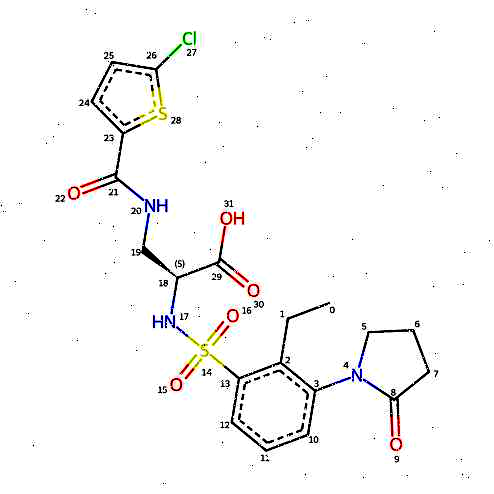 CCc1c(N2CCCC2=O)cccc1S(=O)(=O)N[C@@H](CNC(=O)c1ccc(Cl)s1)C(=O)O